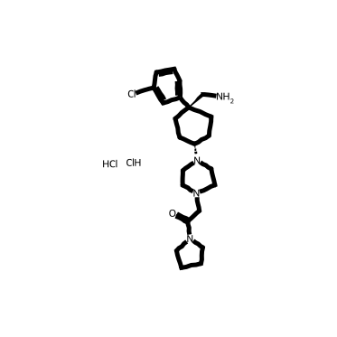 Cl.Cl.NC[C@]1(c2cccc(Cl)c2)CC[C@@H](N2CCN(CC(=O)N3CCCC3)CC2)CC1